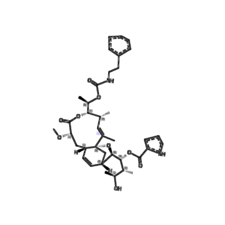 CO[C@H]1C[C@H]2C=C[C@@H]3C[C@]2(O[C@H]3[C@H](OC(=O)c2ccc[nH]2)[C@H](C)[C@H](C)O)/C(C)=C/[C@@H](C)[C@@H]([C@@H](C)OC(=O)NCCc2ccccc2)OC1=O